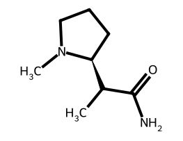 CC(C(N)=O)[C@@H]1CCCN1C